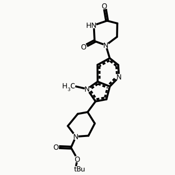 Cn1c(C2CCN(C(=O)OC(C)(C)C)CC2)cc2ncc(N3CCC(=O)NC3=O)cc21